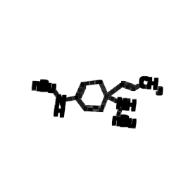 CC=CC1(NCCCC)C=CC(NCCCC)=CC1